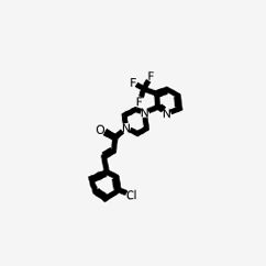 O=C(/C=C/c1cccc(Cl)c1)N1CCN(c2ncccc2C(F)(F)F)CC1